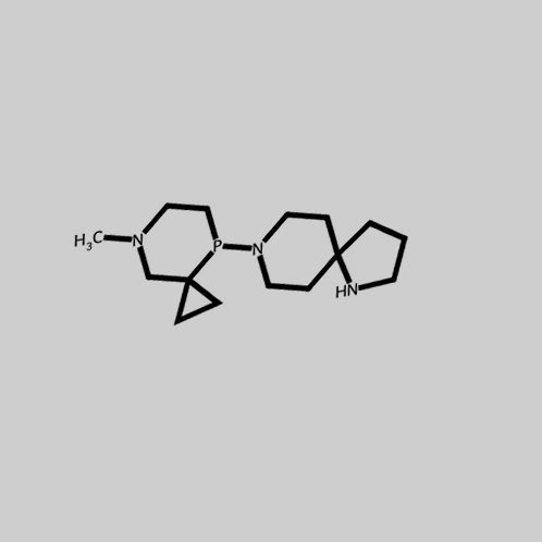 CN1CCP(N2CCC3(CCCN3)CC2)C2(CC2)C1